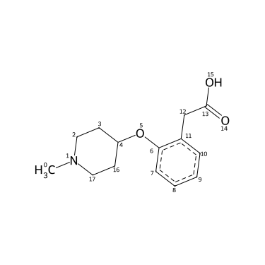 CN1CCC(Oc2ccccc2CC(=O)O)CC1